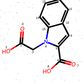 O=C(O)Cn1c(C(=O)O)cc2c[c]ccc21